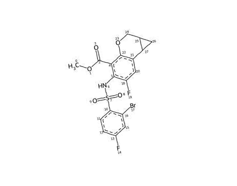 COC(=O)c1c(NS(=O)(=O)c2ccc(F)cc2Br)c(F)cc2c1OCC1CC21